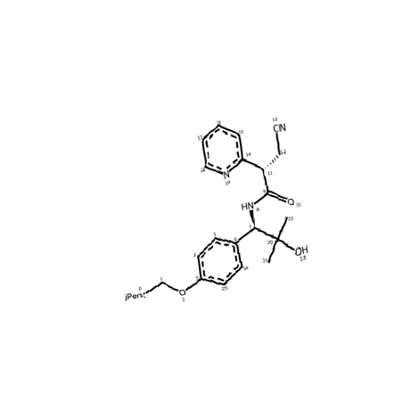 CCCC(C)COc1ccc([C@@H](NC(=O)[C@@H](CC#N)c2ccccn2)C(C)(C)O)cc1